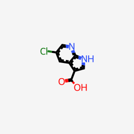 O=C(O)c1c[nH]c2ncc(Cl)cc12